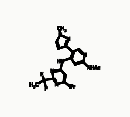 CC(=O)Nc1cc(Nc2cc(C(C)C)nc(C(C)(F)F)n2)c(-c2ccn(C)n2)cn1